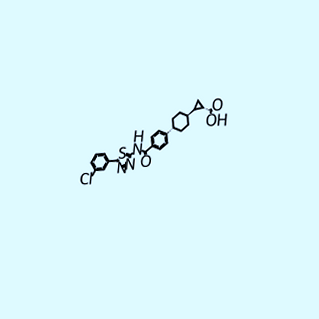 O=C(Nc1nnc(-c2cccc(Cl)c2)s1)c1ccc([C@H]2CC[C@H](C3C[C@@H]3C(=O)O)CC2)cc1